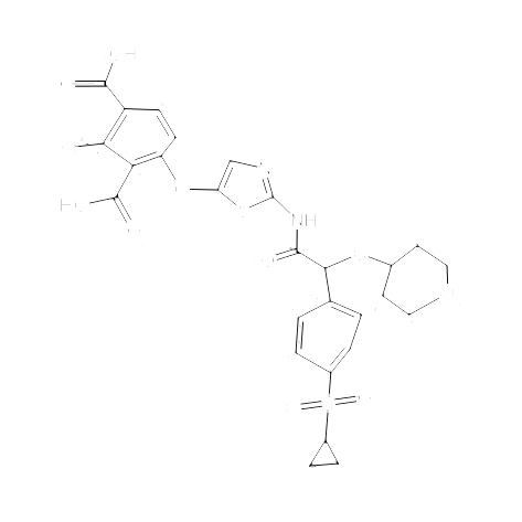 O=C(O)c1ccc(Oc2cnc(NC(=O)C(OC3CCOCC3)c3ccc(S(=O)(=O)C4CC4)cc3)s2)c(C(=O)O)c1Cl